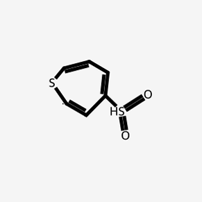 O=[SH](=O)C1=CC=CS[C]=C1